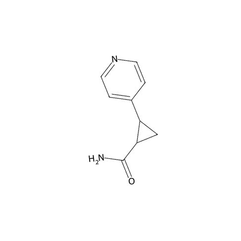 NC(=O)C1CC1c1ccncc1